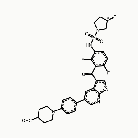 O=CC1CCN(c2ccc(-c3cnc4[nH]cc(C(=O)c5c(F)ccc(NS(=O)(=O)N6CC[C@@H](F)C6)c5F)c4c3)cc2)CC1